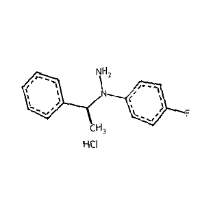 CC(c1ccccc1)N(N)c1ccc(F)cc1.Cl